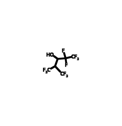 OC(C(C(F)(F)F)C(F)(F)F)C(F)(F)C(F)(F)F